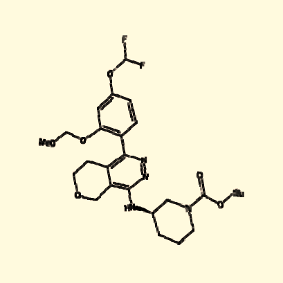 COCOc1cc(OC(F)F)ccc1-c1nnc(N[C@@H]2CCCN(C(=O)OC(C)(C)C)C2)c2c1CCOC2